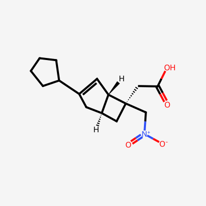 O=C(O)C[C@]1(C[N+](=O)[O-])C[C@H]2CC(C3CCCC3)=C[C@@H]21